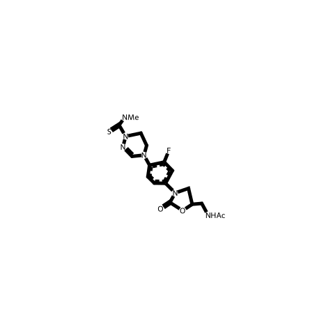 CNC(=S)N1CCN(c2ccc(N3CC(CNC(C)=O)OC3=O)cc2F)C=N1